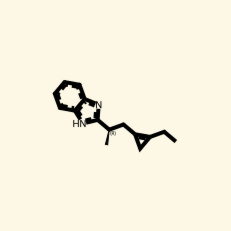 CCC1=C(C[C@@H](C)c2nc3ccccc3[nH]2)C1